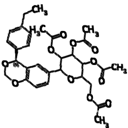 CCc1ccc([C@@H]2OCOc3ccc(C4OC(COC(C)=O)C(OC(C)=O)C(OC(C)=O)C4OC(C)=O)cc32)cc1